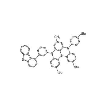 Cc1cc2c3c(c1)N(c1cccc(-c4cccc5sc6ccccc6c45)c1)c1ccc(C(C)(C)C)cc1B3c1cc(C(C)(C)C)ccc1N2c1ccc(C(C)(C)C)cc1